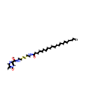 CCC=CCC=CCC=CCC=CCC=CCC=CCCC(=O)NCCSSCCNC(=O)c1c[n+]([O-])c(C)cn1